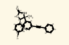 C[C@]1(c2cncc(C#Cc3ccccc3)c2)NC(=O)O[C@@H]1c1ccc(F)cc1